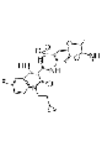 CNC(=O)C(C)Oc1ccc2c(c1)S(=O)(=O)N=C(c1c(O)c3cc(F)ccc3n(CCC3CC3)c1=O)N2